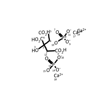 O=C(O)CC(O)(CC(=O)O)C(=O)O.O=P([O-])([O-])[O-].O=P([O-])([O-])[O-].[Ca+2].[Ca+2].[Ca+2]